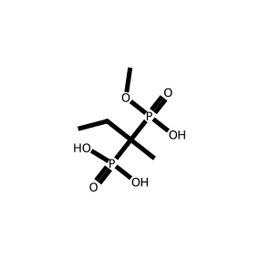 CCC(C)(P(=O)(O)O)P(=O)(O)OC